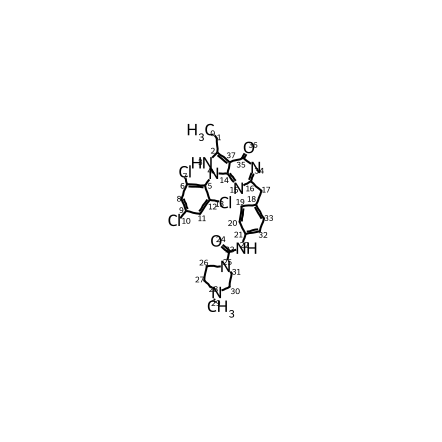 CCc1[nH]n(-c2c(Cl)cc(Cl)cc2Cl)c2nc(Cc3ccc(NC(=O)N4CCN(C)CC4)cc3)nc(=O)c1-2